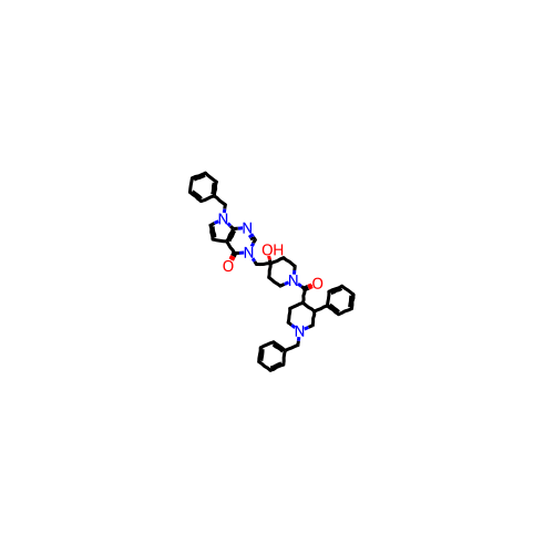 O=C(C1CCN(Cc2ccccc2)CC1c1ccccc1)N1CCC(O)(Cn2cnc3c(ccn3Cc3ccccc3)c2=O)CC1